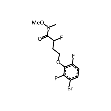 CON(C)C(=O)C(F)CCOc1c(F)ccc(Br)c1F